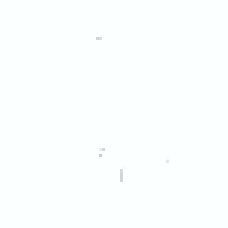 Cc1cc(F)cc(CN(C)C)c1Br